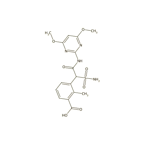 COc1cc(OC)nc(NC(=O)C(c2cccc(C(=O)O)c2C)S(N)(=O)=O)n1